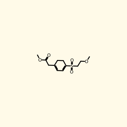 COCCS(=O)(=O)C1=CC=C(CC(=O)OC)CC1